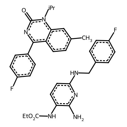 CCOC(=O)Nc1ccc(NCc2ccc(F)cc2)nc1N.Cc1ccc2c(-c3ccc(F)cc3)nc(=O)n(C(C)C)c2c1